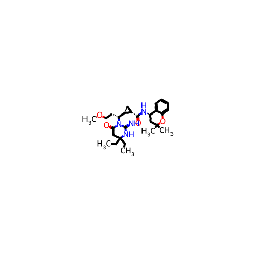 CCC1(CC)CC(=O)N([C@H](CCOC)[C@H]2C[C@@H]2C(=O)N[C@H]2CC(C)(C)Oc3ccccc32)C(=N)N1